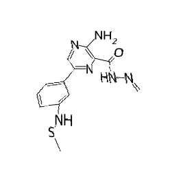 C=NNC(=O)c1nc(-c2cccc(NSC)c2)cnc1N